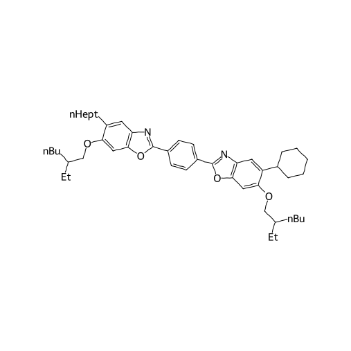 CCCCCCCc1cc2nc(-c3ccc(-c4nc5cc(C6CCCCC6)c(OCC(CC)CCCC)cc5o4)cc3)oc2cc1OCC(CC)CCCC